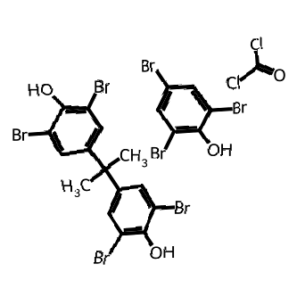 CC(C)(c1cc(Br)c(O)c(Br)c1)c1cc(Br)c(O)c(Br)c1.O=C(Cl)Cl.Oc1c(Br)cc(Br)cc1Br